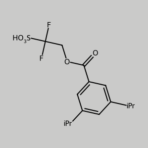 CC(C)c1cc(C(=O)OCC(F)(F)S(=O)(=O)O)cc(C(C)C)c1